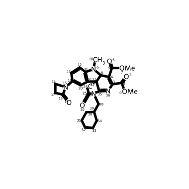 COC(=O)C1=C(C(=O)OC)C2N(C)c3ccc(N4CCC4=O)cc3[C@@]23CCC(=O)N(CC2CCCCC2)C3=N1